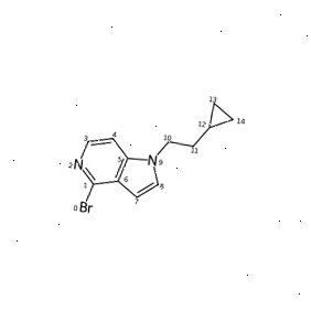 Brc1nccc2c1ccn2CCC1CC1